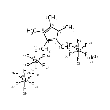 CC1=C(C)C(C)C(C)=C1C.[F][Sb-]([F])([F])([F])([F])[F].[F][Sb-]([F])([F])([F])([F])[F].[F][Sb-]([F])([F])([F])([F])[F].[Ir+3]